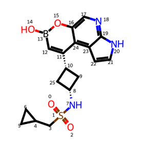 O=S(=O)(CC1CC1)N[C@H]1C[C@@H](C2=CB(O)Oc3cnc4[nH]ccc4c32)C1